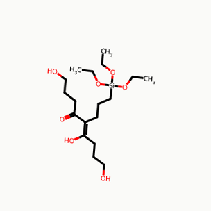 CCO[Si](CCC/C(C(=O)CCCO)=C(/O)CCCO)(OCC)OCC